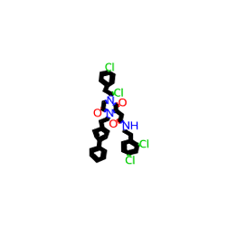 O=C(CC1C(=O)N(C(Cl)Cc2ccc(Cl)cc2)CC(=O)N1CCc1ccc(-c2ccccc2)cc1)NCCc1ccc(Cl)cc1Cl